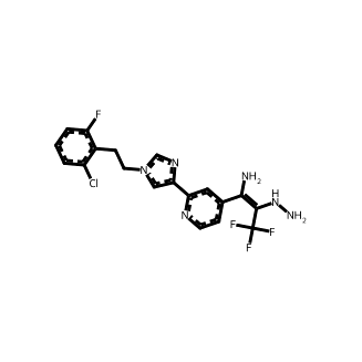 NN/C(=C(\N)c1ccnc(-c2cn(CCc3c(F)cccc3Cl)cn2)c1)C(F)(F)F